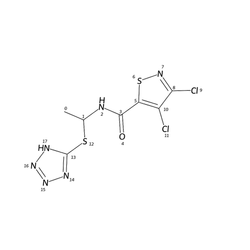 CC(NC(=O)c1snc(Cl)c1Cl)Sc1nnn[nH]1